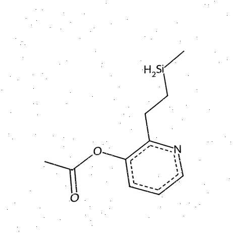 C[SiH2]CCc1ncccc1OC(C)=O